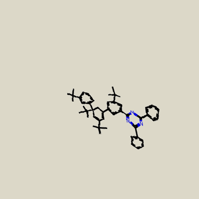 CC(C)(C)C1=CC(c2cccc(C(C)(C)C)c2)(C(C)(C)C)CC(c2cc(-c3nc(-c4ccccc4)nc(-c4ccccc4)n3)cc(C(C)(C)C)c2)=C1